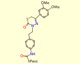 CCCCCC(=O)Nc1ccc(CCN2N=C(c3ccc(OC)c(OC)c3)CSC2=O)cc1